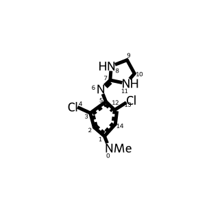 CNc1cc(Cl)c(N=C2NCCN2)c(Cl)c1